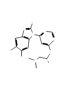 CC(C)[C@@H](CN(C)C)Nc1cc(-n2c(N)nc3cc(Cl)c(Cl)cc32)ncn1